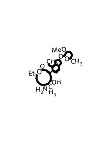 C=CC1=C2C[C@H](OC3OC(C)CCC3OC)CC2C=CC1[C@@H]1CC(=O)O[C@@H](CC)CCC[C@H](N)[C@@H](C)C(O)C1